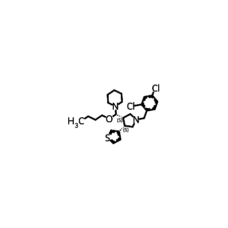 CCCCOC([C@@H]1CN(Cc2ccc(Cl)cc2Cl)C[C@@H]1c1ccsc1)N1CCCCC1